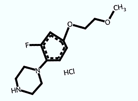 COCCOc1ccc(N2CCNCC2)c(F)c1.Cl